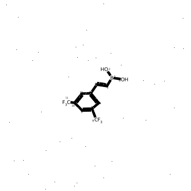 OB(O)C=Cc1cc(C(F)(F)F)cc(C(F)(F)F)c1